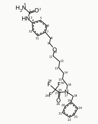 NC(=O)Nc1ccc(CCOCCCCCCN(Cc2ccccc2)C(=O)C(F)(F)F)cc1